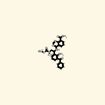 CN(CC(Nc1ncnc2c(C(N)=O)cccc12)c1cccc(C(=O)c2ccccc2)c1N)C(=O)OC(C)(C)C